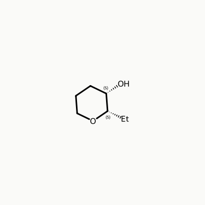 CC[C@@H]1OCCC[C@@H]1O